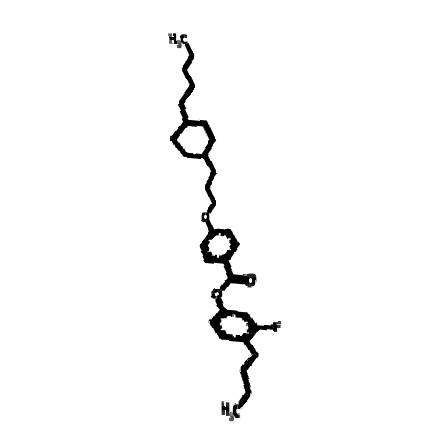 CCCCCC1CCC(CCCOc2ccc(C(=O)Oc3ccc(CCCC)c(F)c3)cc2)CC1